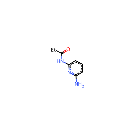 CCC(=O)Nc1cccc(N)n1